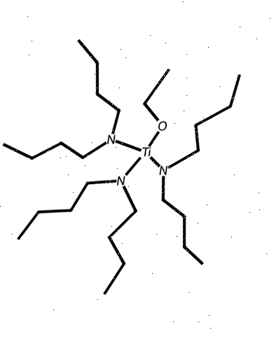 CCCC[N](CCCC)[Ti]([O]CC)([N](CCCC)CCCC)[N](CCCC)CCCC